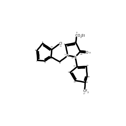 CCOC(=O)c1cn(Cc2ccccc2Cl)n(-c2ccc(C(F)(F)F)cc2)c1=O